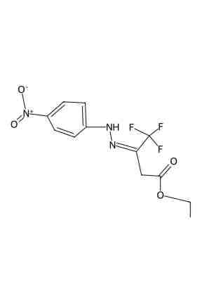 CCOC(=O)CC(=NNc1ccc([N+](=O)[O-])cc1)C(F)(F)F